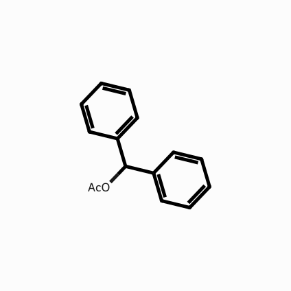 [CH2]C(=O)OC(c1ccccc1)c1ccccc1